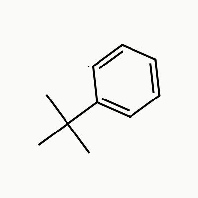 CC(C)(C)c1[c]cccc1